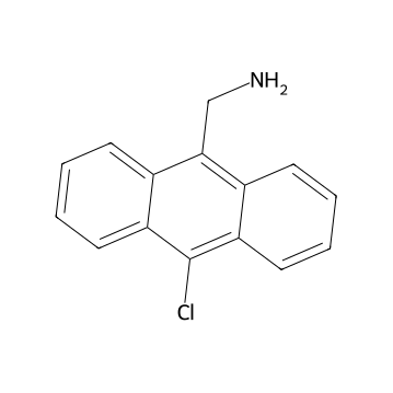 NCc1c2ccccc2c(Cl)c2ccccc12